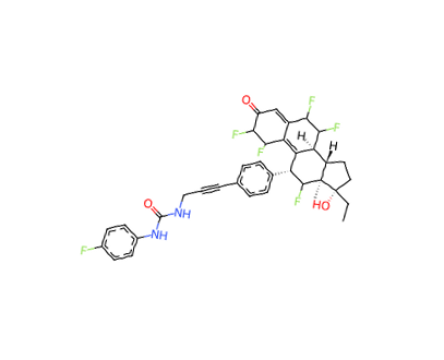 CC[C@]1(O)CC[C@H]2[C@H]3C(=C4C(=CC(=O)C(F)C4F)C(F)C3F)[C@@H](c3ccc(C#CCNC(=O)Nc4ccc(F)cc4)cc3)C(F)[C@@]21C